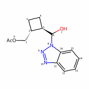 CC(=O)OC[C@@H]1CC[C@H]1C(O)n1nnc2ccccc21